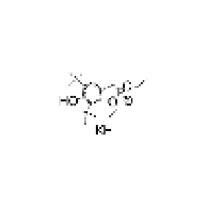 CCOP(=O)(Cc1cc(C(C)(C)C)c(O)c(C(C)(C)C)c1)OCC.[KH]